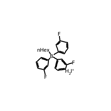 CCCCCC[B-](c1cccc(F)c1)(c1cccc(F)c1)c1cccc(F)c1.[IH2+]